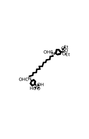 CCOP(=O)(OCC)c1ccc(N(C=O)CCCCCCCCCCCCCCN(C=O)c2ccc(P(=O)(O)O)cc2)cc1